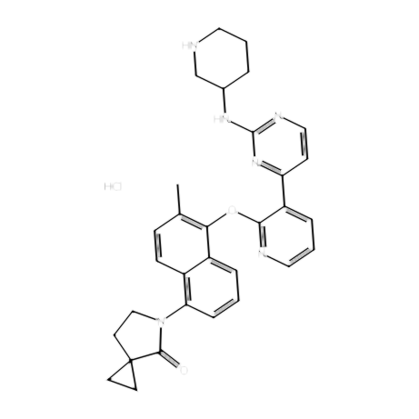 Cc1ccc2c(N3CCC4(CC4)C3=O)cccc2c1Oc1ncccc1-c1ccnc(NC2CCCNC2)n1.Cl